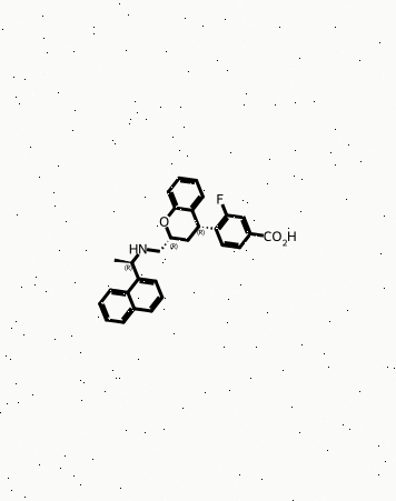 C[C@@H](NC[C@H]1C[C@@H](c2ccc(C(=O)O)cc2F)c2ccccc2O1)c1cccc2ccccc12